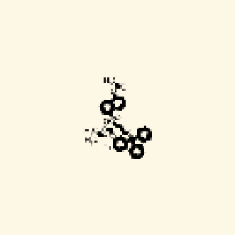 CC(=O)Oc1cccc2c(S(=O)(=O)N(CCSC(c3ccccc3)(c3ccccc3)c3ccccc3)C(=O)OC(C)(C)C)cccc12